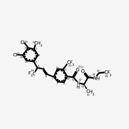 Cc1cc(C(/C=C/c2ccc(C(=O)N[C@H](C)C(=O)NCC(F)(F)F)c(C(F)(F)F)c2)C(F)(F)F)cc(Cl)c1Cl